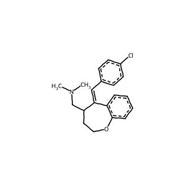 CN(C)CC1CCOc2ccccc2C1=Cc1ccc(Cl)cc1